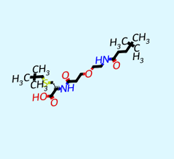 CC(C)(C)CCC(=O)NCCOCCC(=O)N[C@@H](CSCC(C)(C)C)C(=O)O